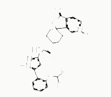 O=C1O[C@]2(CC[C@@H](C(=O)Nc3cc(-c4ccccc4OC(F)F)[nH]n3)CC2)c2c[n+]([O-])ccc21